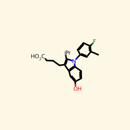 Cc1cc(-n2c(C(C)C)c(CCCC(=O)O)c3cc(O)ccc32)ccc1F